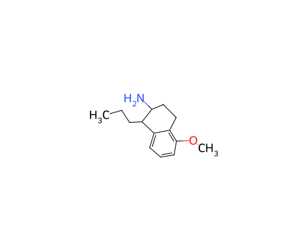 CCCC1c2cccc(OC)c2CCC1N